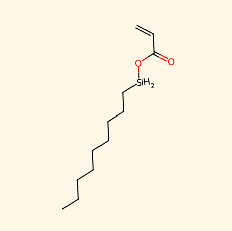 C=CC(=O)O[SiH2]CCCCCCCCC